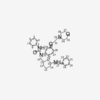 O=C(Nc1ccccc1)N(CC1CCCC(NCc2ccccc2)C1)c1cccc(OCCN2CCOCC2)c1